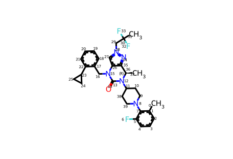 Cc1cccc(F)c1N1CCC(N2C(=O)N(Cc3ccccc3C3CC3)c3cn(CC(C)(F)F)nc3[C@H]2C)CC1